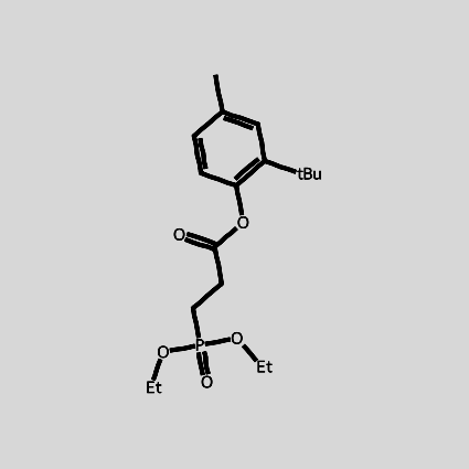 CCOP(=O)(CCC(=O)Oc1ccc(C)cc1C(C)(C)C)OCC